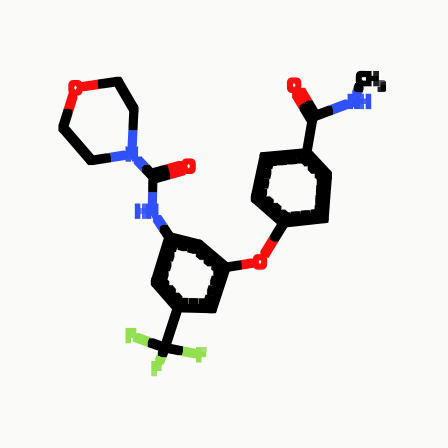 CNC(=O)c1ccc(Oc2cc(NC(=O)N3CCOCC3)cc(C(F)(F)F)c2)cc1